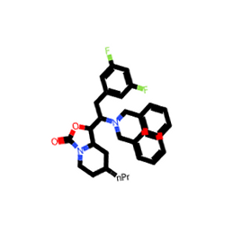 CCCC1CCN2C(=O)OC(C(Cc3cc(F)cc(F)c3)N(Cc3ccccc3)Cc3ccccc3)C2C1